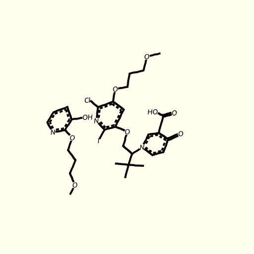 COCCCOc1cc(OCC(n2ccc(=O)c(C(=O)O)c2)C(C)(C)C)c(I)nc1Cl.COCCCOc1ncccc1O